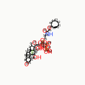 C[C@@H]1C[C@H]2[C@@H]3CCC4=CC(=O)C=C[C@]4(C)[C@@]3(F)[C@@H](O)C[C@]2(C)[C@@]1(O)C(=O)COP(=O)(OCCNC(=O)COC1C#CCCCCC1)OP(=O)(O)OP(=O)(O)O